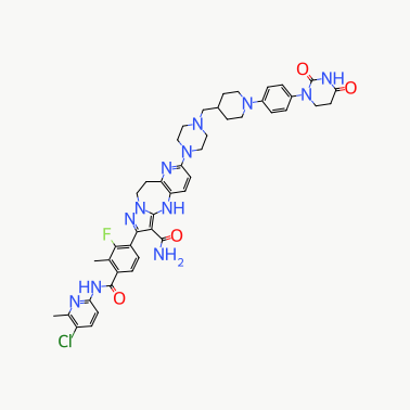 Cc1nc(NC(=O)c2ccc(-c3nn4c(c3C(N)=O)Nc3ccc(N5CCN(CC6CCN(c7ccc(N8CCC(=O)NC8=O)cc7)CC6)CC5)nc3CC4)c(F)c2C)ccc1Cl